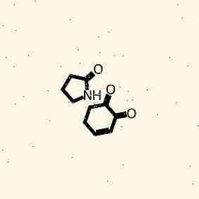 O=C1C=CCCC1=O.O=C1CCCN1